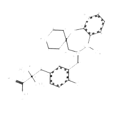 Cc1ccc(CC(C)(C)C(=O)O)cc1CN1CC2(CCOCC2)Oc2ncccc2[S+]1[O-]